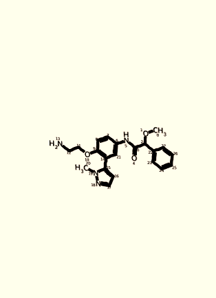 COC(C(=O)Nc1ccc(OCCN)c(-c2ccnn2C)c1)c1ccccc1